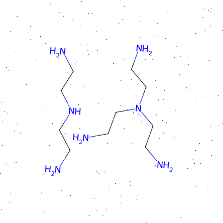 NCCN(CCN)CCN.NCCNCCN